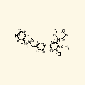 Cc1c(Cl)nc(-c2ccc(NC(=S)Nc3cccnc3)cc2)nc1N1CCOCC1